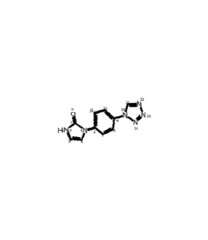 O=c1[nH]ccn1-c1ccc(-n2cnnn2)cc1